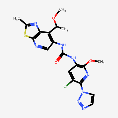 COc1nc(-n2ccnn2)c(Cl)cc1NC(=O)Nc1cnc2sc(C)nc2c1C(C)OC